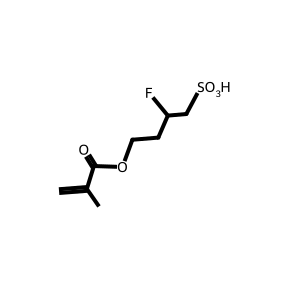 C=C(C)C(=O)OCCC(F)CS(=O)(=O)O